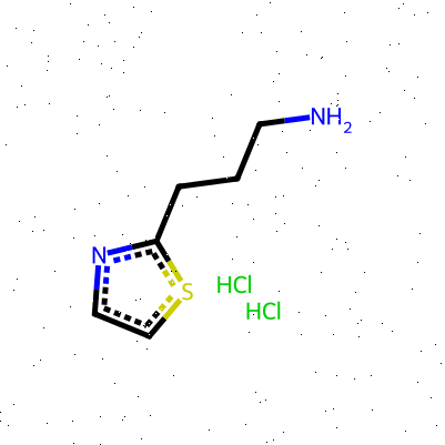 Cl.Cl.NCCCc1nccs1